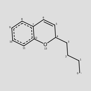 [CH2]CCCC1C=Cc2ccccc2O1